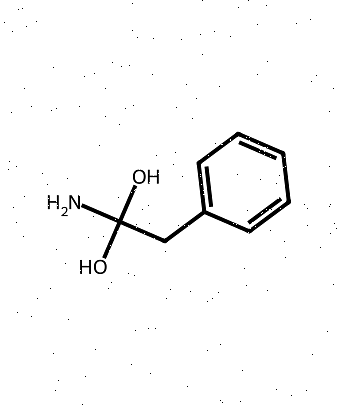 NC(O)(O)Cc1ccccc1